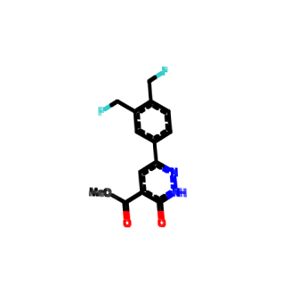 COC(=O)c1cc(-c2ccc(CF)c(CF)c2)n[nH]c1=O